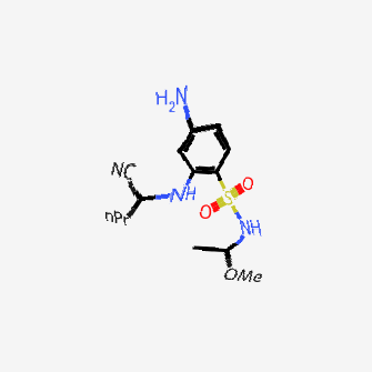 CCCC(C#N)Nc1cc(N)ccc1S(=O)(=O)NC(C)OC